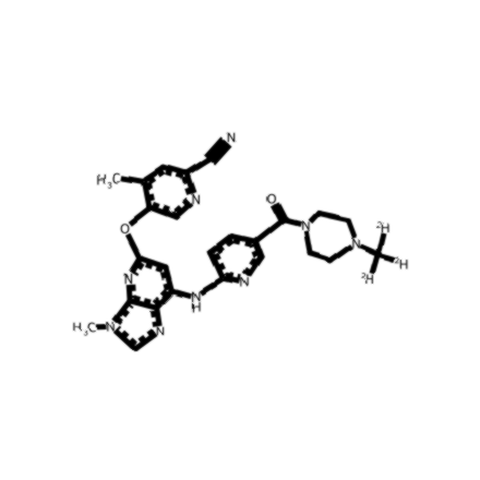 [2H]C([2H])([2H])N1CCN(C(=O)c2ccc(Nc3cc(Oc4cnc(C#N)cc4C)nc4c3ncn4C)nc2)CC1